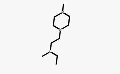 CCN(C)CCN1CCN(C)CC1